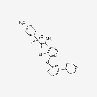 CCc1c(C(C)NS(=O)(=O)c2ccc(C(F)(F)F)cc2)ccnc1Oc1cccc(N2CCOCC2)c1